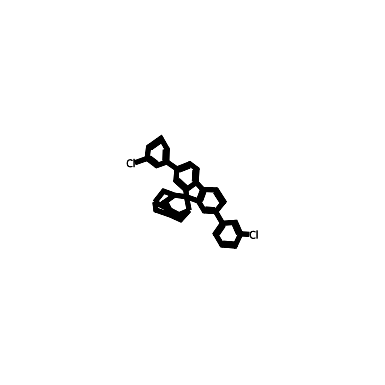 Clc1cccc(-c2ccc3c(c2)C2(c4cc(-c5cccc(Cl)c5)ccc4-3)C3C=C4CC(C3)CC2C4)c1